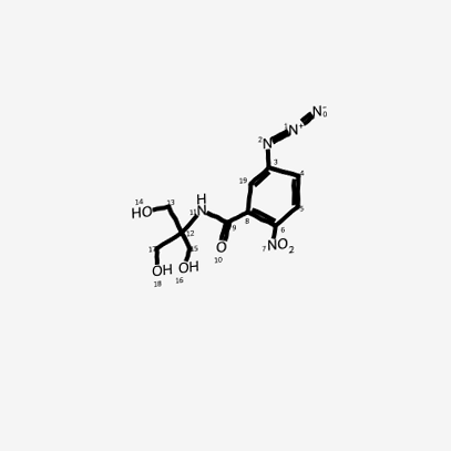 [N-]=[N+]=Nc1ccc([N+](=O)[O-])c(C(=O)NC(CO)(CO)CO)c1